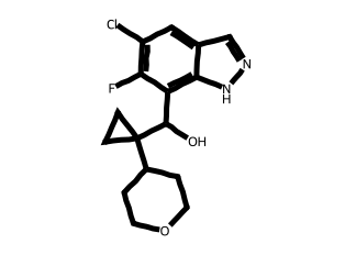 OC(c1c(F)c(Cl)cc2cn[nH]c12)C1(C2CCOCC2)CC1